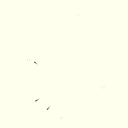 CC[C@H]1C(=O)C2(CCC2)[C@@H](O)CC(=O)O[C@H](C(C)=Cc2ccccn2)CC2OC2(C)CCC[C@H](C)[C@H]1O